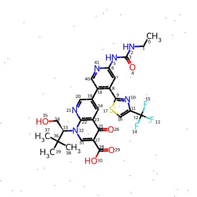 CCNC(=O)Nc1cc(-c2nc(C(F)(F)F)cs2)c(-c2cnc3c(c2)c(=O)c(C(=O)O)cn3[C@H](CO)C(C)(C)C)cn1